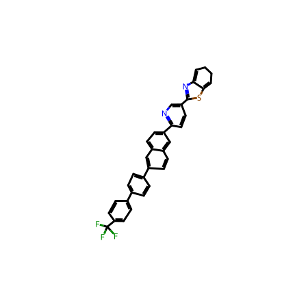 FC(F)(F)c1ccc(-c2ccc(-c3ccc4cc(-c5ccc(-c6nc7c(s6)=CCCC=7)cn5)ccc4c3)cc2)cc1